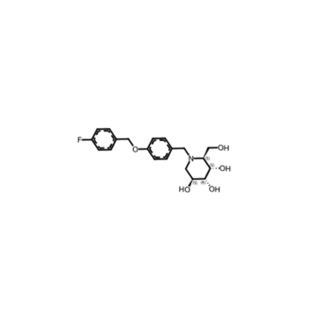 OC[C@H]1[C@H](O)[C@H](O)[C@@H](O)CN1Cc1ccc(OCc2ccc(F)cc2)cc1